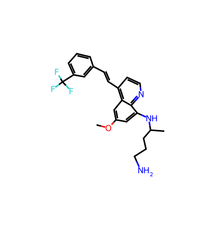 COc1cc(NC(C)CCCN)c2nccc(/C=C/c3cccc(C(F)(F)F)c3)c2c1